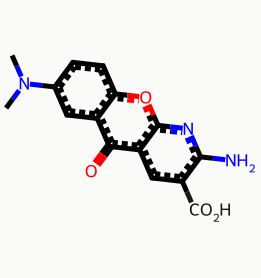 CN(C)c1ccc2oc3nc(N)c(C(=O)O)cc3c(=O)c2c1